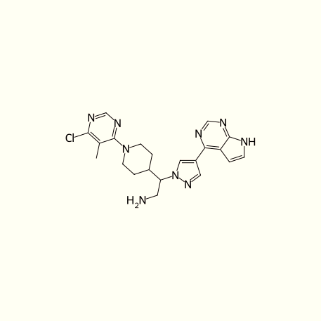 Cc1c(Cl)ncnc1N1CCC(C(CN)n2cc(-c3ncnc4[nH]ccc34)cn2)CC1